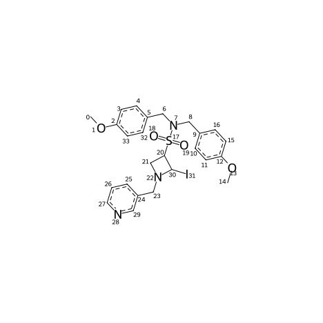 COc1ccc(CN(Cc2ccc(OC)cc2)S(=O)(=O)C2CN(Cc3cccnc3)C2I)cc1